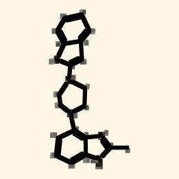 Cc1nc2c(N3CCN(c4cc5ccccc5s4)CC3)cccc2[nH]1